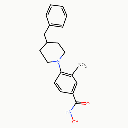 O=C(NO)c1ccc(N2CCC(Cc3ccccc3)CC2)c([N+](=O)[O-])c1